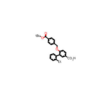 CCc1ccccc1-c1cc(C(=O)O)ccc1OCc1ccc(C(=O)OC(C)(C)C)cc1